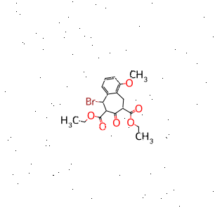 CCOC(=O)C1Cc2c(OC)cccc2C(Br)C(C(=O)OCC)C1=O